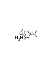 COC1(N)CCC(C2CC2)CC1